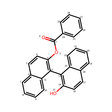 O=C(Oc1ccc2ccccc2c1-c1c(O)ccc2ccccc12)c1ccccc1